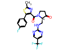 Cc1nc(C(=O)N2CCC(=O)[C@H]2CNc2ncc(C(F)(F)F)cn2)c(-c2ccc(F)cc2)s1